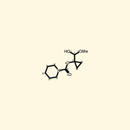 COC(O)C1(OC(=O)N2CCCCC2)CC1